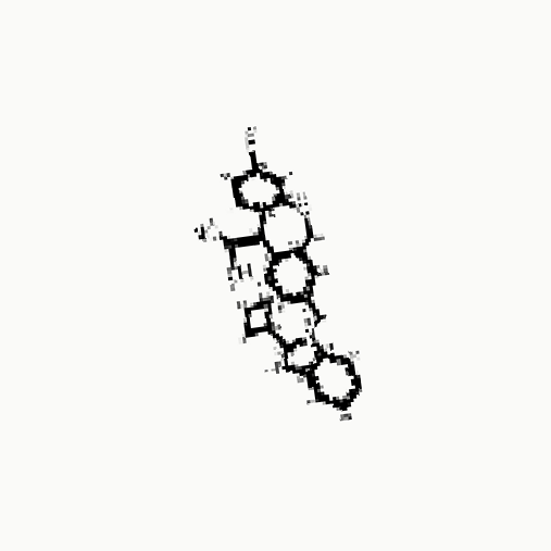 CC(C#N)=C1c2ccc(Cn3c(C4CCC4)nc4ccccc43)cc2COc2cc(F)ccc21